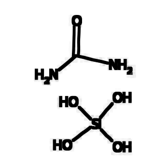 NC(N)=O.O[Si](O)(O)O